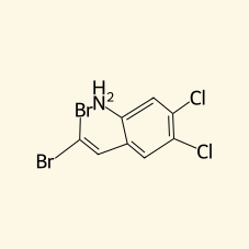 Nc1cc(Cl)c(Cl)cc1C=C(Br)Br